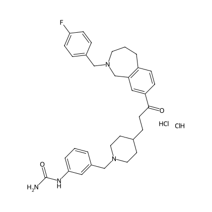 Cl.Cl.NC(=O)Nc1cccc(CN2CCC(CCC(=O)c3ccc4c(c3)CN(Cc3ccc(F)cc3)CCC4)CC2)c1